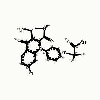 CN(C)C(=O)c1c(CN)c(=O)c2ccc(Cl)cc2n1-c1ccccc1.O=C(O)C(F)(F)F